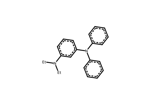 CCN(CC)c1cccc(N(c2ccccc2)c2ccccc2)c1